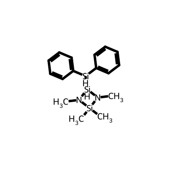 CN1[SiH]([SiH](c2ccccc2)c2ccccc2)N(C)[Si]1(C)C